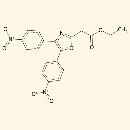 CCOC(=O)Cc1nc(-c2ccc([N+](=O)[O-])cc2)c(-c2ccc([N+](=O)[O-])cc2)o1